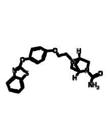 NC(=O)N1C[C@@H]2C[C@H]1CN2CCOc1ccc(Oc2nc3ccccc3s2)cc1